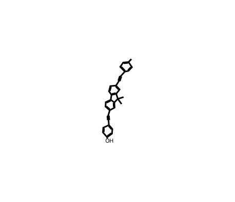 Cc1ccc(C#Cc2ccc3c(c2)C(C)(C)c2cc(C#Cc4ccc(O)cc4)ccc2-3)cc1